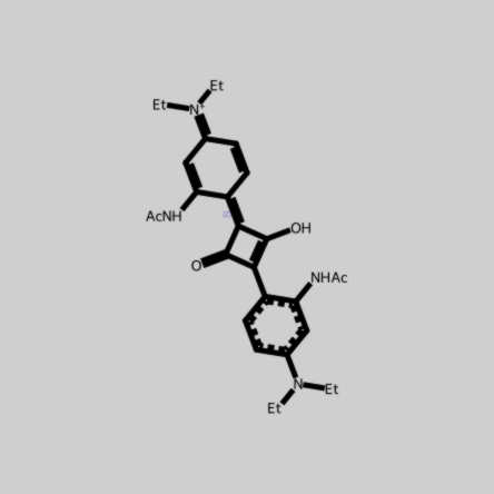 CCN(CC)c1ccc(C2=C(O)/C(=C3\C=CC(=[N+](CC)CC)C=C3NC(C)=O)C2=O)c(NC(C)=O)c1